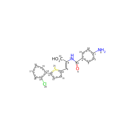 Nc1ccc(C(=O)NC(=Cc2ccc(-c3ccccc3Cl)s2)C(=O)O)cc1